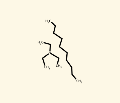 CCCCCCCCCC.CCN(CC)CC